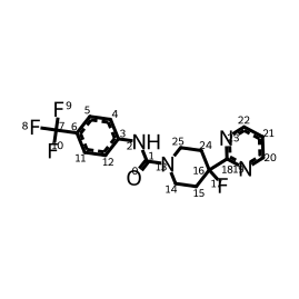 O=C(Nc1ccc(C(F)(F)F)cc1)N1CCC(F)(c2ncccn2)CC1